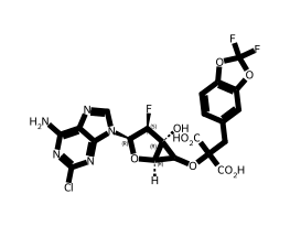 Nc1nc(Cl)nc2c1ncn2[C@@H]1O[C@@H]2C(OC(Cc3ccc4c(c3)OC(F)(F)O4)(C(=O)O)C(=O)O)[C@]2(O)[C@@H]1F